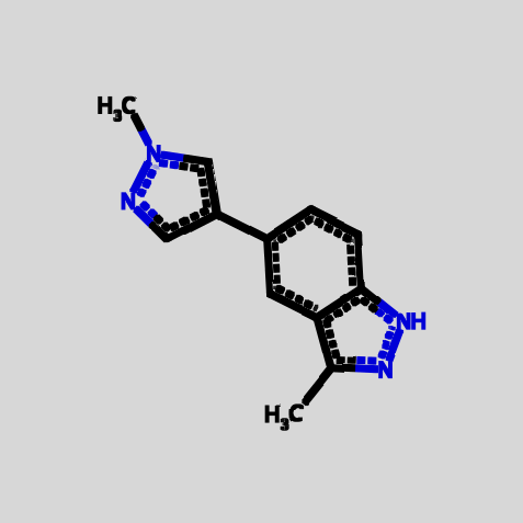 Cc1n[nH]c2ccc(-c3cnn(C)c3)cc12